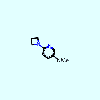 CNc1ccc(N2CCC2)nc1